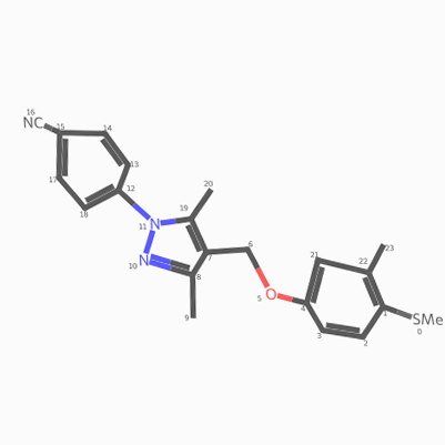 CSc1ccc(OCc2c(C)nn(-c3ccc(C#N)cc3)c2C)cc1C